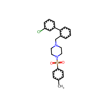 Cc1ccc(S(=O)(=O)N2CCN(Cc3ccccc3-c3cccc(Cl)c3)CC2)cc1